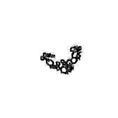 COC(=O)N1CCC(NC(=O)[C@@]2(C)CC[C@@]3(C)CC[C@@]4(C)[C@]5(C)CC[C@H]6C(C)(C)C(=O)C(C#N)=C[C@]6(C)C5=CC(=O)[C@]4(O)[C@@H]3C2)CC1